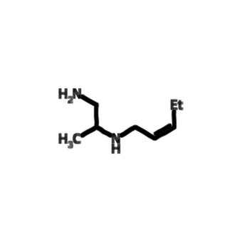 CC/C=C\CNC(C)CN